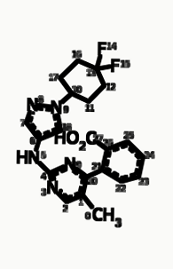 Cc1cnc(Nc2cnn(C3CCC(F)(F)CC3)c2)nc1-c1ccccc1C(=O)O